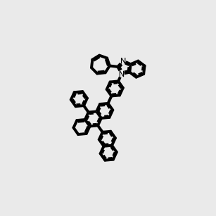 C1=CCC=CC(c2nc3ccccc3n2-c2ccc(-c3ccc4c(-c5ccc6ccccc6c5)c5c(c(-c6ccccc6)c4c3)=CCCC=5)cc2)=C1